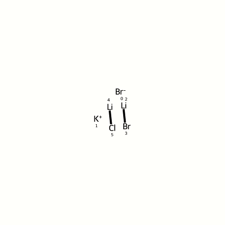 [Br-].[K+].[Li][Br].[Li][Cl]